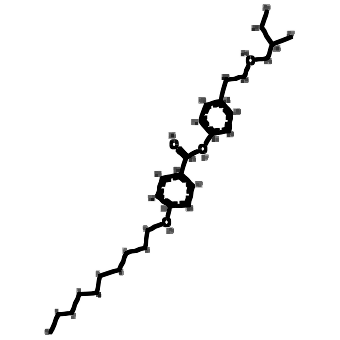 CCCCCCCCCCOc1ccc(C(=O)Oc2ccc(CCOCC(C)CC)cc2)cc1